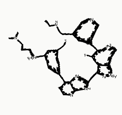 CCNCc1cncc(-c2ncc3[nH]nc(-c4nc5c(-c6cc(F)cc(NCCN(C)C)c6)ccnc5[nH]4)c3c2F)c1